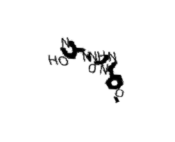 CCOc1ccc(-c2cncc(C(=O)N/N=C/c3cncc(O)c3)n2)cc1